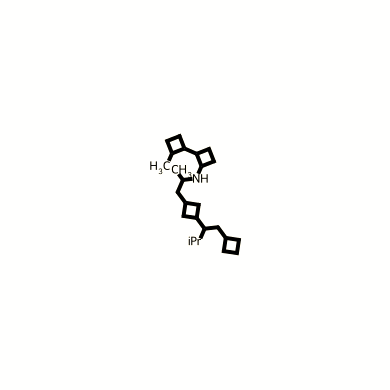 CC(CC1CC(C(CC2CCC2)C(C)C)C1)NC1CCC1C1CCC1C